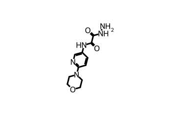 NNC(=O)C(=O)Nc1ccc(N2CCOCC2)nc1